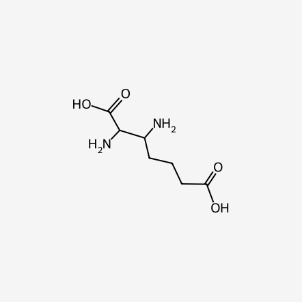 NC(CCCC(=O)O)C(N)C(=O)O